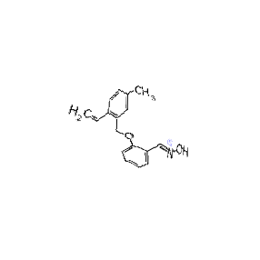 C=Cc1ccc(C)cc1COc1ccccc1/C=N/O